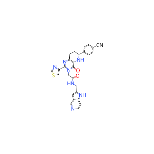 N#Cc1ccc(C2CCc3nc(-c4cscn4)n(CC(=O)NCc4cc5cnccc5[nH]4)c(=O)c3N2)cc1